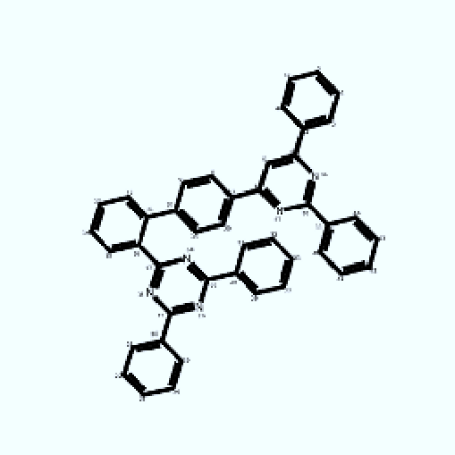 c1ccc(-c2cc(-c3ccc(-c4ccccc4-c4nc(-c5ccccc5)nc(-c5ccccc5)n4)cc3)nc(-c3ccccc3)n2)cc1